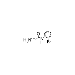 NCCC(=O)Nc1ccccc1Br